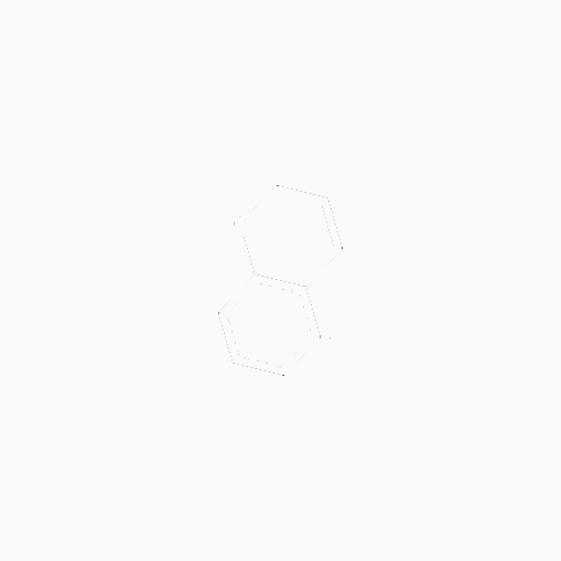 [C]1C=Cc2ccccc2O1